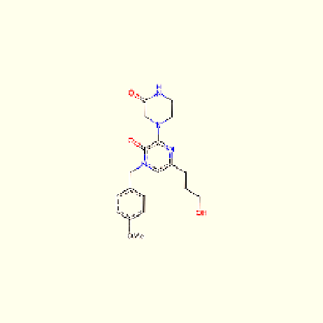 COc1ccc(Cn2cc(CCCO)nc(N3CCNC(=O)C3)c2=O)cc1